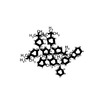 Cc1cccc(C)c1N1c2ccc(N(c3ccccc3)c3ccc(-c4cc5ccccc5o4)cc3)cc2B2c3cc(C(C)(C)C)ccc3N(c3ccc(C(C)(C)C)cc3)c3cc(N(c4ccc(C(C)(C)C)cc4)c4ccc(C(C)(C)C)cc4)cc1c32